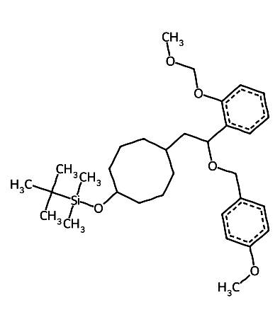 COCOc1ccccc1C(CC1CCCC(O[Si](C)(C)C(C)(C)C)CCC1)OCc1ccc(OC)cc1